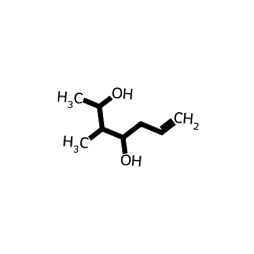 C=CCC(O)C(C)C(C)O